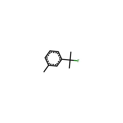 Cc1cccc(C(C)(C)F)c1